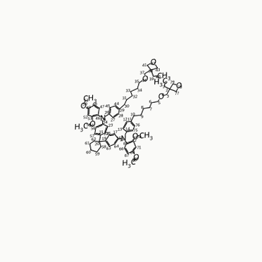 CCC1(COCCCCCCc2ccc(N(c3ccc(C4(c5ccc(N(c6ccc(CCCCCCOCC7(CC)COC7)cc6)c6ccc(OC)cc6OC)cc5)CCCCC4)cc3)c3ccc(OC)cc3OC)cc2)COC1